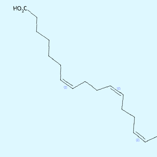 CC/C=C\CC/C=C\CC/C=C\CCCCCC(=O)O